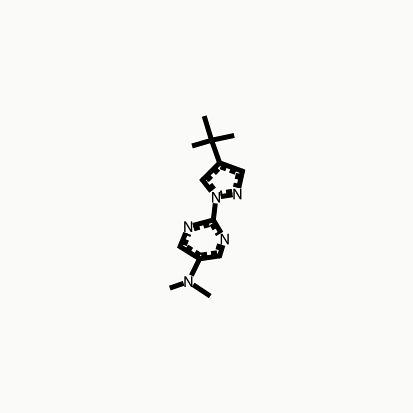 CN(C)c1cnc(-n2cc(C(C)(C)C)cn2)nc1